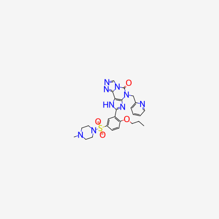 CCCOc1ccc(S(=O)(=O)N2CCN(C)CC2)cc1-c1nc2c([nH]1)c1nncn1c(=O)n2Cc1ccccn1